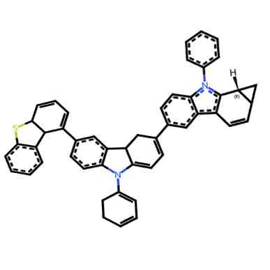 C1=CCCC(N2C3=CC=C(c4ccc5c(c4)c4c(n5-c5ccccc5)[C@@H]5CC5C=C4)CC3c3cc(C4=CC=CC5Sc6ccccc6C45)ccc32)=C1